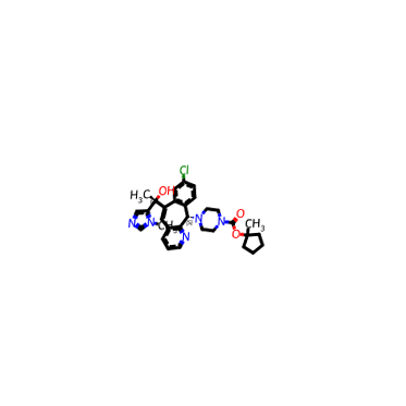 Cn1cncc1[C@](C)(O)C1=Cc2cccnc2[C@@H](N2CCN(C(=O)OC3(C)CCCC3)CC2)c2ccc(Cl)cc21